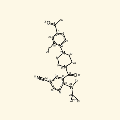 CC(=O)c1ccc(N2CCN(C(=O)c3cc(C#N)ccc3N(C)C3CC3)CC2)c(F)c1